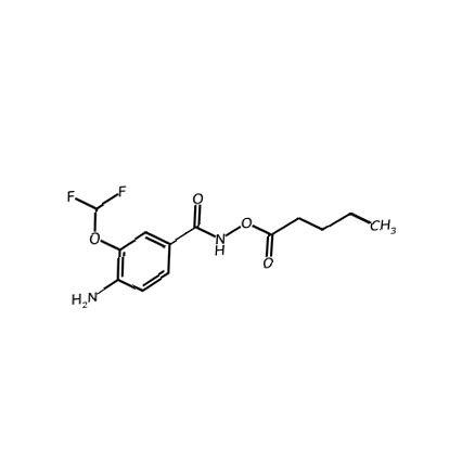 CCCCC(=O)ONC(=O)c1ccc(N)c(OC(F)F)c1